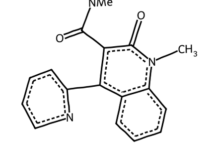 CNC(=O)c1c(-c2ccccn2)c2ccccc2n(C)c1=O